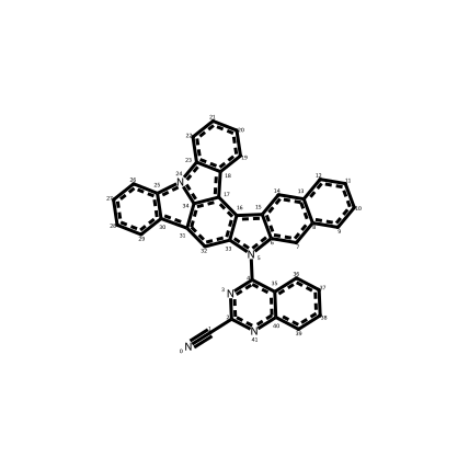 N#Cc1nc(-n2c3cc4ccccc4cc3c3c4c5ccccc5n5c6ccccc6c(cc32)c45)c2ccccc2n1